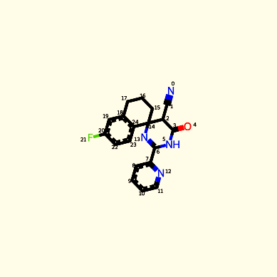 N#CC1C(=O)NC(c2ccccn2)=NC12CCCc1cc(F)ccc12